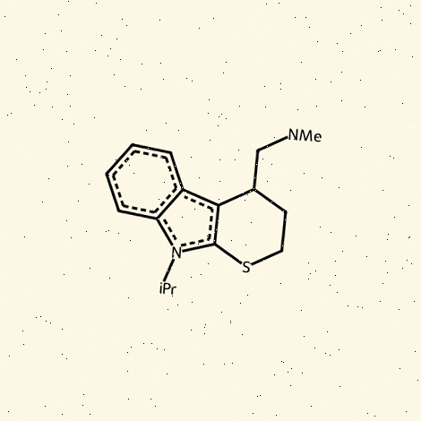 CNCC1CCSc2c1c1ccccc1n2C(C)C